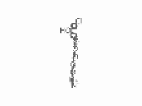 [N-]=[N+]=NCCOCCOCCOCCOCCOc1ccc(C(O)c2ccc(Cl)cc2)cc1